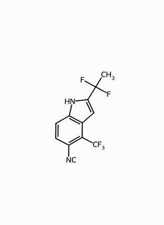 [C-]#[N+]c1ccc2[nH]c(C(C)(F)F)cc2c1C(F)(F)F